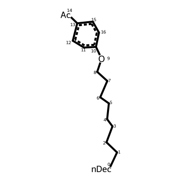 CCCCCCCCCCCCCCCCCCOc1ccc(C(C)=O)cc1